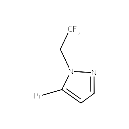 CC(C)c1ccnn1CC(F)(F)F